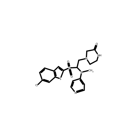 CN(c1ccncc1)C(CN1CCNC(=O)C1)S(=O)(=O)c1cc2ccc(Cl)cc2s1